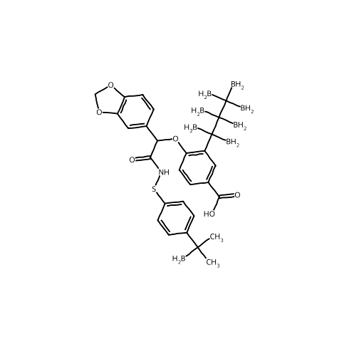 BC(C)(C)c1ccc(SNC(=O)C(Oc2ccc(C(=O)O)cc2C(B)(B)C(B)(B)C(B)(B)B)c2ccc3c(c2)OCO3)cc1